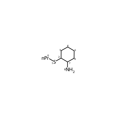 CCCSC1CCCCC1N